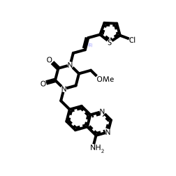 COCC1CN(Cc2ccc3c(N)ncnc3c2)C(=O)C(=O)N1C/C=C/c1ccc(Cl)s1